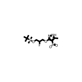 Cc1[nH]nc(OCC(F)CO[Si](C)(C)C(C)(C)C)c1[N+](=O)[O-]